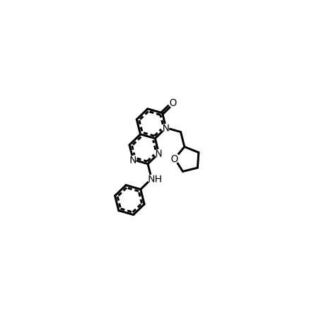 O=c1ccc2cnc(Nc3ccccc3)nc2n1CC1CCCO1